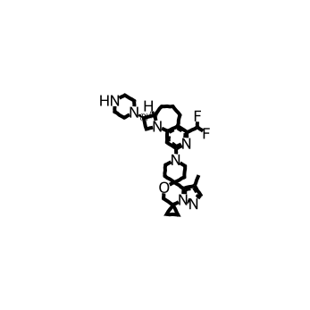 Cc1cnn2c1C1(CCN(c3cc4c(c(C(F)F)n3)CCC[C@H]3[C@H](N5CCNCC5)CN43)CC1)OCC21CC1